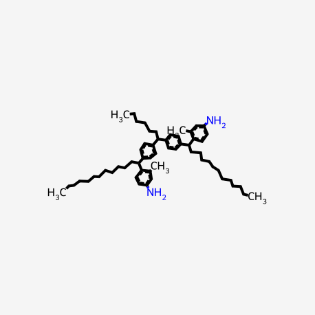 CCCCCCCCCCCCC(c1ccc(C(CCCCCC)c2ccc(C(CCCCCCCCCCCC)c3ccc(N)cc3C)cc2)cc1)c1ccc(N)cc1C